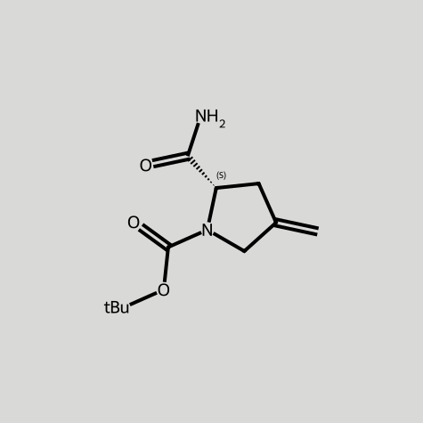 C=C1C[C@@H](C(N)=O)N(C(=O)OC(C)(C)C)C1